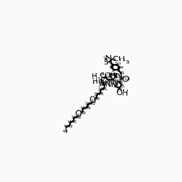 Cc1ncsc1-c1ccc(CNC(=O)[C@@H]2C[C@@H](O)CN2C(=O)C(NC(=O)CCCCCOCCCCCOCCCCCCI)C(C)(C)C)cc1